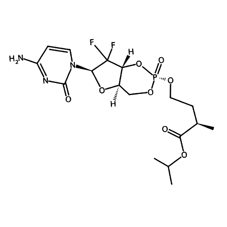 CC(C)OC(=O)[C@H](C)CCO[P@]1(=O)OC[C@H]2O[C@@H](n3ccc(N)nc3=O)C(F)(F)[C@@H]2O1